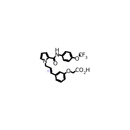 O=C(O)COc1cccc(/C=C/Cn2cccc2C(=O)Nc2ccc(OC(F)(F)F)cc2)c1